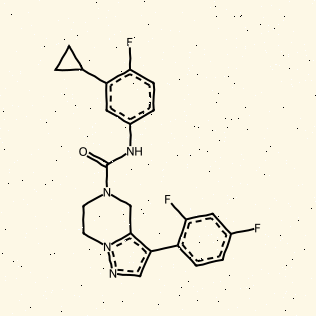 O=C(Nc1ccc(F)c(C2CC2)c1)N1CCn2ncc(-c3ccc(F)cc3F)c2C1